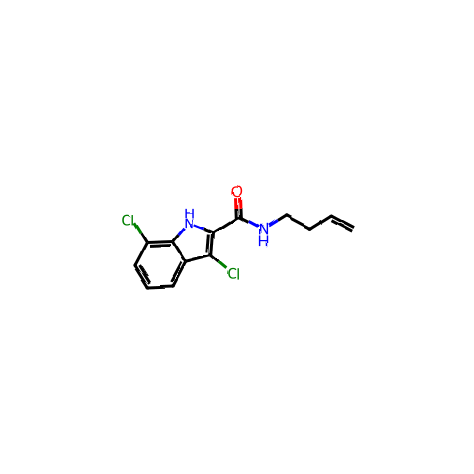 C=CCCNC(=O)c1[nH]c2c(Cl)cccc2c1Cl